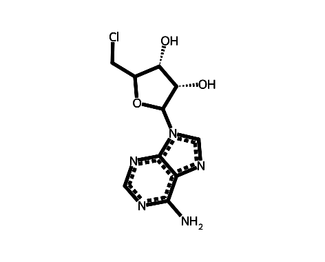 Nc1ncnc2c1ncn2C1OC(CCl)[C@H](O)[C@@H]1O